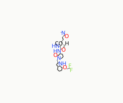 CN(C)C(=O)/C=C/CCC(NC(=O)O)C(=O)Nc1cccn(Cc2cc3cccc(OCC(F)F)c3[nH]2)c1=O